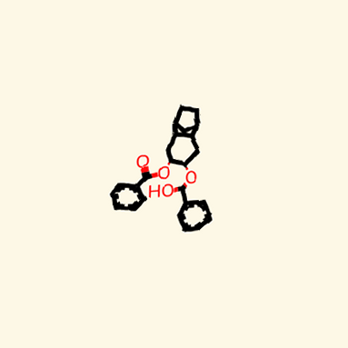 O=C(O[C@@H]1CC2C3CCC(C3)C2C[C@@H]1OC(O)c1ccccc1)c1ccccc1